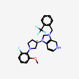 COc1cccc(F)c1N1CC[C@@H](N2CN(Cc3ccccc3C(F)(F)F)C3=C2C=CNC3)C1